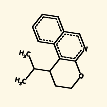 CC(C)C1CCOc2ncc3ccccc3c21